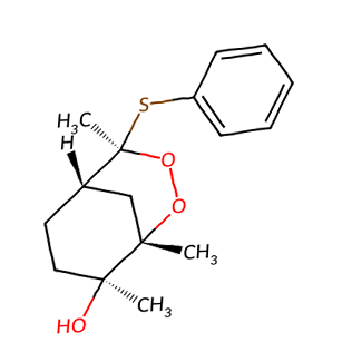 C[C@]1(O)CC[C@H]2C[C@]1(C)OO[C@]2(C)Sc1ccccc1